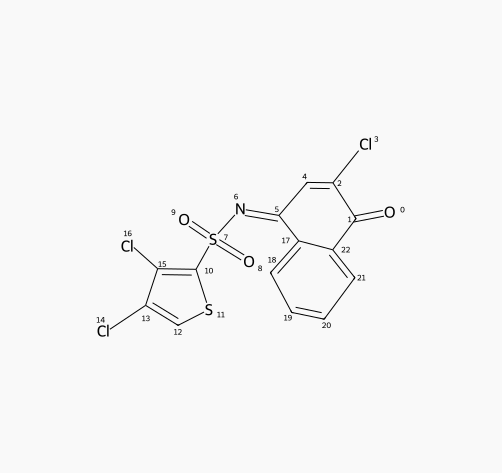 O=C1C(Cl)=C/C(=N/S(=O)(=O)c2scc(Cl)c2Cl)c2ccccc21